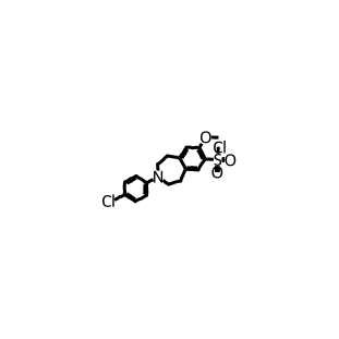 COc1cc2c(cc1S(=O)(=O)Cl)CCN(c1ccc(Cl)cc1)CC2